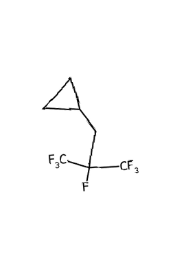 FC(F)(F)C(F)(CC1CC1)C(F)(F)F